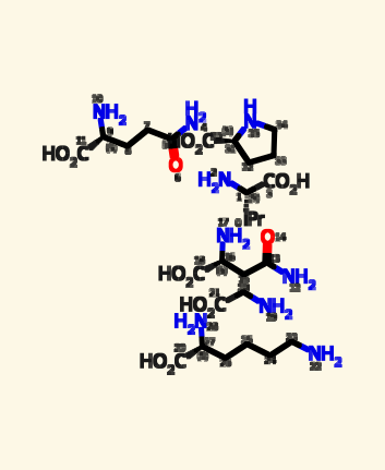 CC(C)[C@H](N)C(=O)O.NC(=O)CC[C@H](N)C(=O)O.NC(=O)C[C@H](N)C(=O)O.NCC(=O)O.NCCCC[C@H](N)C(=O)O.O=C(O)[C@@H]1CCCN1